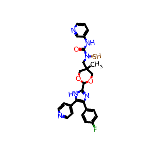 CC1(CN(S)C(=O)Nc2cccnc2)COC(c2nc(-c3ccc(F)cc3)c(-c3ccncc3)[nH]2)OC1